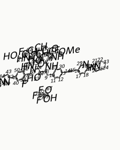 COC(=O)N[C@H](C(=O)N[C@@H](Cc1ccc(C#Cc2ccc(N3CC4CCC(C3)N4)nc2)cc1)[C@@H](O)CN(Cc1c(F)cc(-c2ccn(C(F)F)n2)cc1F)NC(=O)[C@@H](NC(=O)O)C(C)(C)C(F)(F)F)C(C)(C)C(F)(F)F.O=C(O)C(F)(F)F